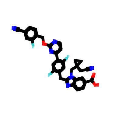 N#CCC1(Cn2c(Cc3cc(F)c(-c4ccnc(OCc5ccc(C#N)cc5F)n4)cc3F)nc3ccc(C(=O)O)cc32)CC1